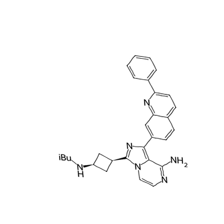 CCC(C)N[C@H]1C[C@@H](c2nc(-c3ccc4ccc(-c5ccccc5)nc4c3)c3c(N)nccn32)C1